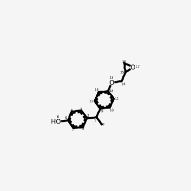 CC(c1ccc(O)cc1)c1ccc(OCC2CO2)cc1